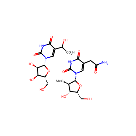 CO[C@@H]1[C@@H](O)[C@@H](CO)O[C@H]1n1cc(CC(N)=O)c(=O)[nH]c1=O.O=C(O)C(O)c1cn([C@@H]2O[C@H](CO)[C@@H](O)[C@H]2O)c(=O)[nH]c1=O